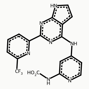 O=C(O)Nc1cc(Nc2nc(-c3cccc(C(F)(F)F)n3)nc3[nH]ccc23)ccn1